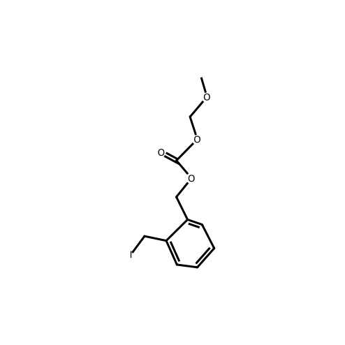 COCOC(=O)OCc1ccccc1CI